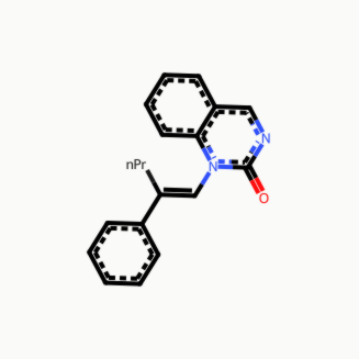 CCCC(=Cn1c(=O)ncc2ccccc21)c1ccccc1